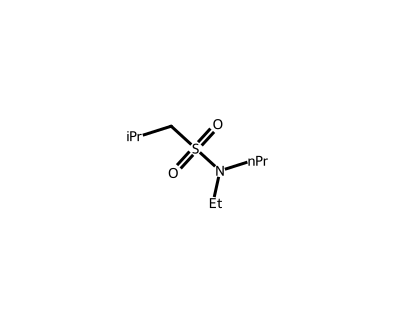 [CH2]CN(CCC)S(=O)(=O)CC(C)C